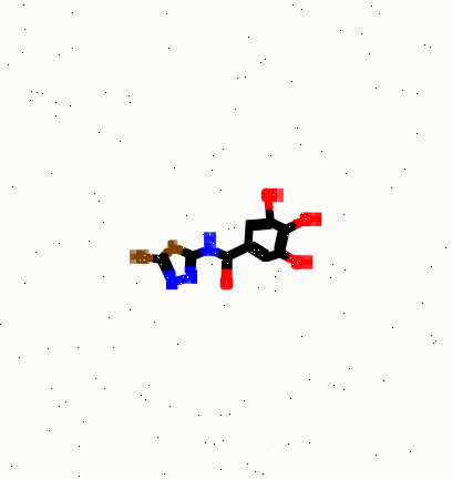 O=C(Nc1nnc(S)s1)c1cc(O)c(O)c(O)c1